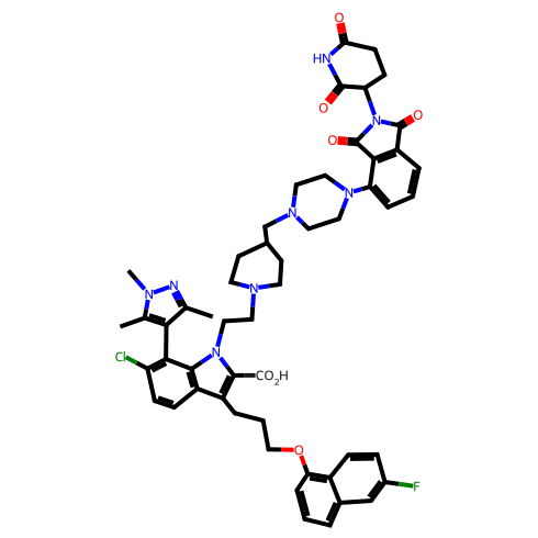 Cc1nn(C)c(C)c1-c1c(Cl)ccc2c(CCCOc3cccc4cc(F)ccc34)c(C(=O)O)n(CCN3CCC(CN4CCN(c5cccc6c5C(=O)N(C5CCC(=O)NC5=O)C6=O)CC4)CC3)c12